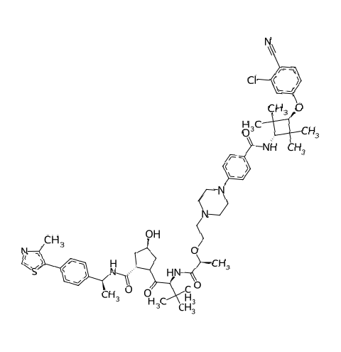 Cc1ncsc1-c1ccc([C@H](C)NC(=O)[C@@H]2C[C@@H](O)CC2C(=O)[C@@H](NC(=O)[C@H](C)OCCN2CCN(c3ccc(C(=O)N[C@H]4C(C)(C)[C@H](Oc5ccc(C#N)c(Cl)c5)C4(C)C)cc3)CC2)C(C)(C)C)cc1